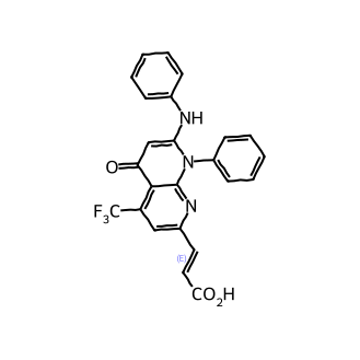 O=C(O)/C=C/c1cc(C(F)(F)F)c2c(=O)cc(Nc3ccccc3)n(-c3ccccc3)c2n1